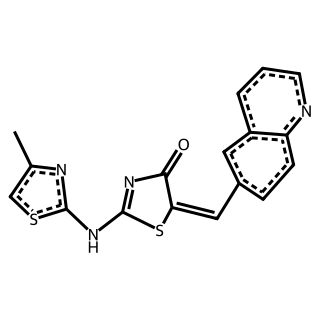 Cc1csc(NC2=NC(=O)C(=Cc3ccc4ncccc4c3)S2)n1